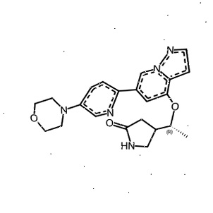 C[C@@H](Oc1cc(-c2ccc(N3CCOCC3)cn2)cn2nccc12)C1CNC(=O)C1